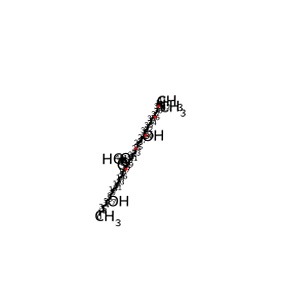 CCCCCC[C@@H](O)CC=CCCCCCCCC(CCCCCCCC=CC[C@H](O)CCCCCCCCCN(C)C)OC(=O)O